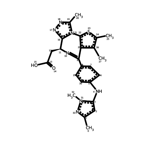 Cc1cc(Nc2ccc(C3=N[C@@H](CC(=O)O)c4nnc(C)n4-c4sc(C)c(C)c43)cc2)n(C)n1